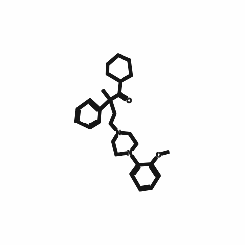 COc1ccccc1N1CCN(CCC(C)(C(=O)C2CCCCC2)c2ccccc2)CC1